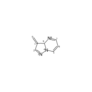 C=C1C=NN2C=CC=NC12